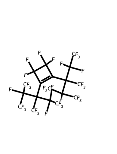 FC(F)(F)C(F)(F)C(C1=C(C(C(F)(F)F)(C(F)(F)C(F)(F)F)C(F)(C(F)(F)F)C(F)(F)F)C(F)(F)C1(F)F)(C(F)(F)F)C(F)(C(F)(F)F)C(F)(F)F